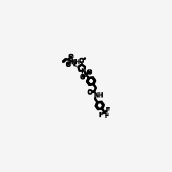 C=CS(=O)(=O)NC[C@H]1CN(S(=O)(=O)c2ccc(CC(=O)NCc3ccc(C(F)(F)F)cc3)cc2)C[C@@H]1OC